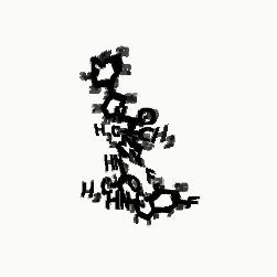 CC(NC1CCc2cc(F)cc(F)c2C1)C(=O)Nc1cn(C(C)(C)C(=O)N2CCC(c3ccncc3)C2)cn1